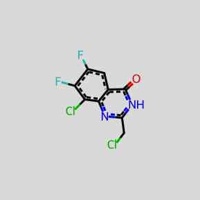 O=c1[nH]c(CCl)nc2c(Cl)c(F)c(F)cc12